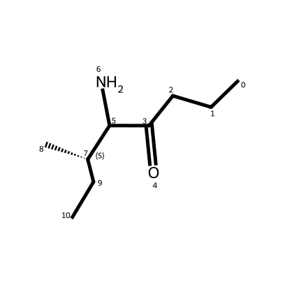 CCCC(=O)C(N)[C@@H](C)CC